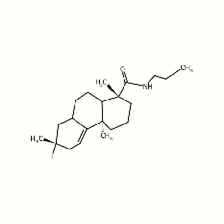 CCCNC(=O)[C@]1(C)CCC[C@@]2(C)C3=CC[C@](C)(I)CC3CCC12